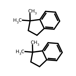 CC1(C)CCc2ccccc21.CC1(C)CCc2ccccc21